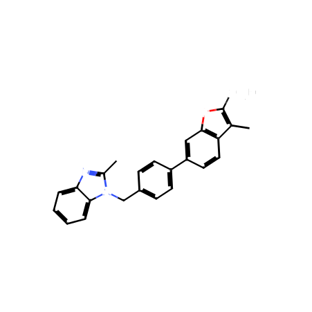 CCOC(=O)c1oc2cc(-c3ccc(Cn4c(C)nc5ccccc54)cc3)ccc2c1C